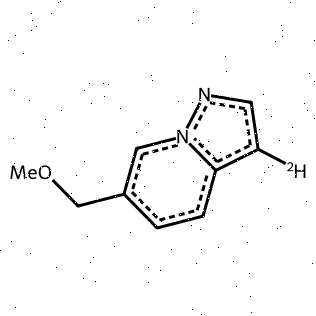 [2H]c1cnn2cc(COC)ccc12